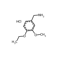 CCOc1ccc(CN)cc1OC.Cl